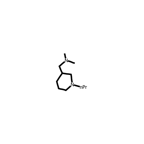 CCCN1CCCC(CN(C)C)C1